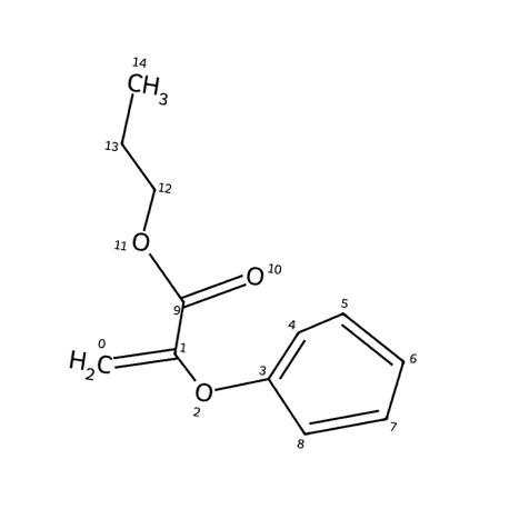 C=C(Oc1ccccc1)C(=O)OCCC